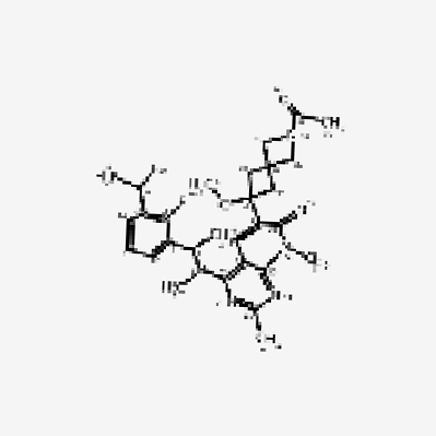 COC1(c2cc3c(N(C)[C@H](C)c4cccc(C(F)P)c4F)nc(C)nc3n(C)c2=O)CC2(CN(C(C)=O)C2)C1